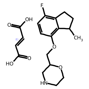 CC1CCc2c(F)ccc(OCC3CNCCO3)c21.O=C(O)/C=C/C(=O)O